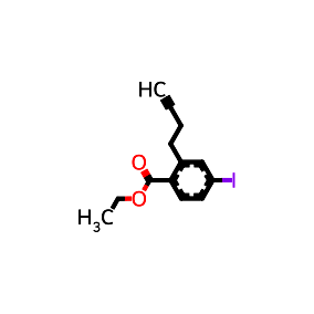 C#CCCc1cc(I)ccc1C(=O)OCC